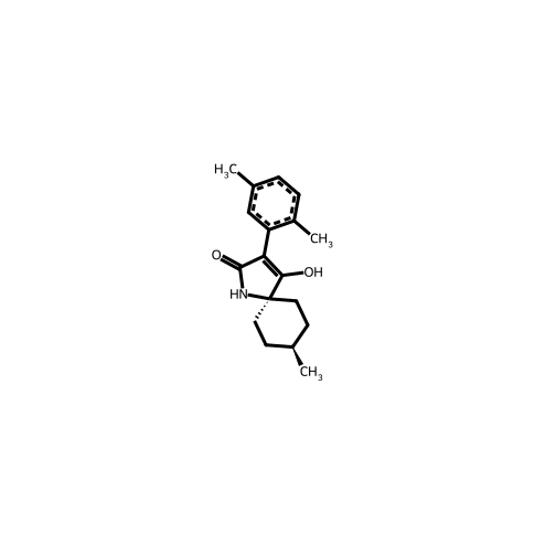 Cc1ccc(C)c(C2=C(O)[C@]3(CC[C@H](C)CC3)NC2=O)c1